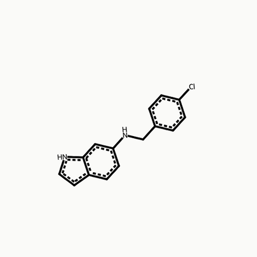 Clc1ccc(CNc2ccc3cc[nH]c3c2)cc1